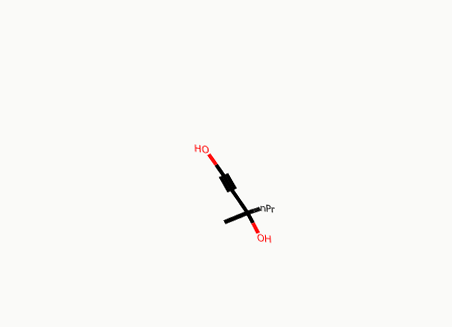 CCCC(C)(O)C#CO